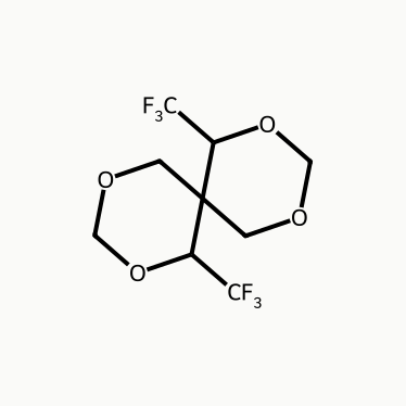 FC(F)(F)C1OCOCC12COCOC2C(F)(F)F